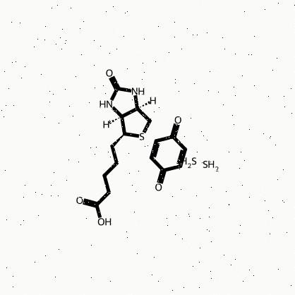 O=C(O)CCCC[C@@H]1SC[C@@H]2NC(=O)N[C@@H]21.O=C1C=CC(=O)C=C1.S.S